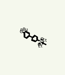 CCCCOc1ccc(-c2ccc(S(=O)(=O)C(C)(CC)CC)cc2)cc1